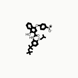 CC(C)COc1ccc(C(C)(C)CC(C)(C)C)cc1NC(=O)c1cc(Oc2ccc([N+](=O)[O-])cc2)c2ccccc2c1O